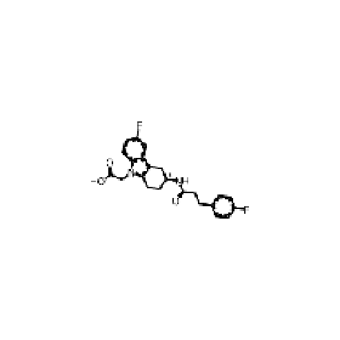 O=C(O)Cn1c2c(c3cc(F)ccc31)C[C@@H](NC(=O)CCc1ccc(F)cc1)CC2